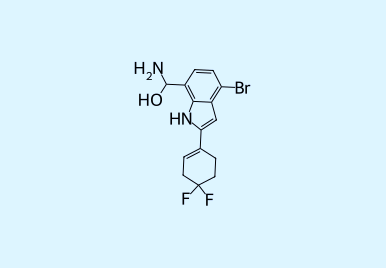 NC(O)c1ccc(Br)c2cc(C3=CCC(F)(F)CC3)[nH]c12